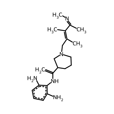 C=C(Nc1c(N)cccc1N)C1CCCN(C/C(C)=C(C)/C(C)=N\C)C1